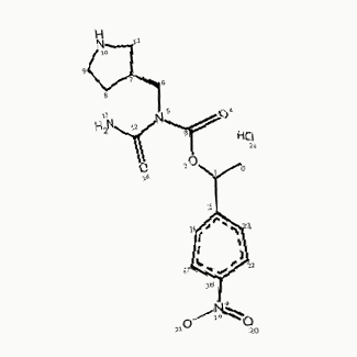 CC(OC(=O)N(C[C@H]1CCNC1)C(N)=O)c1ccc([N+](=O)[O-])cc1.Cl